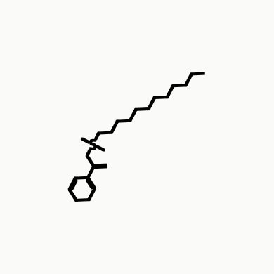 C=C(CS(C)(C)CCCCCCCCCCCC)C1=CCCC=C1